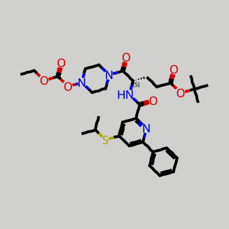 CCOC(=O)ON1CCN(C(=O)[C@H](CCC(=O)OC(C)(C)C)NC(=O)c2cc(SC(C)C)cc(-c3ccccc3)n2)CC1